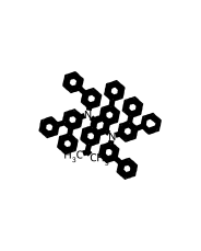 CC(C)c1ccc2c(N(c3cccc(-c4ccccc4)c3)c3ccc(-c4ccccc4)c(-c4ccccc4)c3)c3cc(-c4ccccc4)ccc3c(N(c3cccc(-c4ccccc4)c3)c3ccc(C4C=CC=CC4)c(-c4ccccc4)c3)c2c1